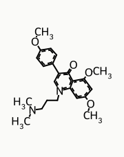 COc1ccc(-c2cn(CCCN(C)C)c3cc(OC)cc(OC)c3c2=O)cc1